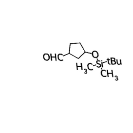 CC(C)(C)[Si](C)(C)OC1CCC(C=O)C1